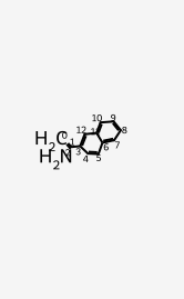 C=C(N)c1ccc2ccccc2c1